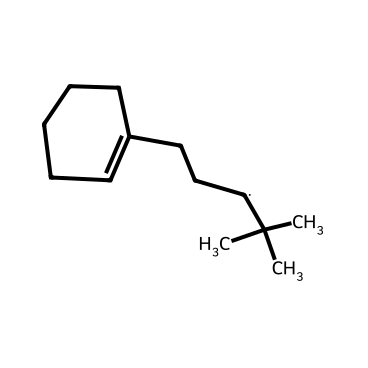 CC(C)(C)[CH]CCC1=CCCCC1